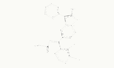 CNC(=O)C=C(c1ccc2nc(N)c(-c3ccccc3)n2c1)c1cccc(F)c1F